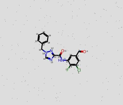 O=Cc1cc(Cl)c(F)c(NC(=O)c2ncn(Cc3ccccc3)n2)c1